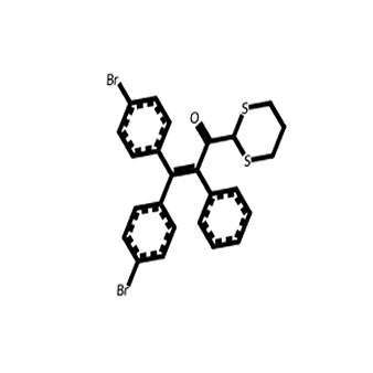 O=C(C(=C(c1ccc(Br)cc1)c1ccc(Br)cc1)c1ccccc1)C1SCCCS1